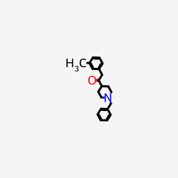 Cc1cccc(CC(=O)C2CCN(Cc3ccccc3)CC2)c1